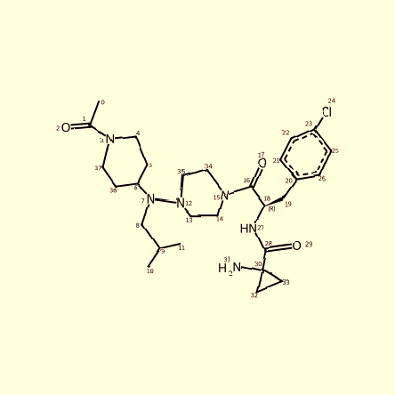 CC(=O)N1CCC(N(CC(C)C)N2CCN(C(=O)[C@@H](Cc3ccc(Cl)cc3)NC(=O)C3(N)CC3)CC2)CC1